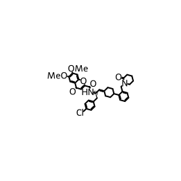 COc1cc2oc(C(=O)N[C@@H](C=C3CCC(c4ccccc4CN4CCCCC4=O)CC3)Cc3ccc(Cl)cc3)cc(=O)c2cc1OC